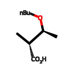 CCCCO[C@@H](C)[C@@H](C)C(=O)O